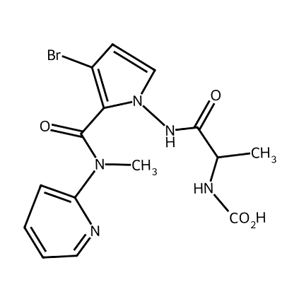 CC(NC(=O)O)C(=O)Nn1ccc(Br)c1C(=O)N(C)c1ccccn1